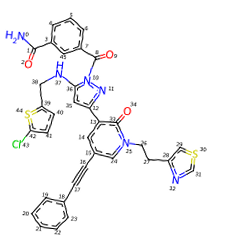 NC(=O)c1cccc(C(=O)n2nc(-c3cc(C#Cc4ccccc4)cn(CCc4cscn4)c3=O)cc2NCc2ccc(Cl)s2)c1